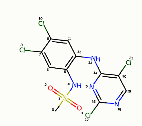 CS(=O)(=O)Nc1cc(Cl)c(Cl)cc1Nc1nc(Cl)ncc1Cl